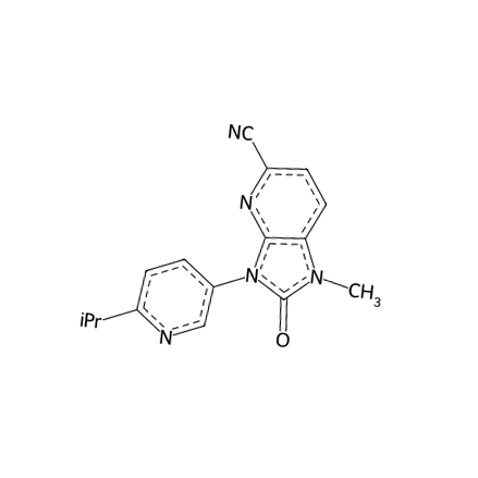 CC(C)c1ccc(-n2c(=O)n(C)c3ccc(C#N)nc32)cn1